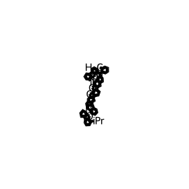 Cc1ccccc1N(c1ccc2cc3c(cc2c1)oc1c3ccc2c3cc4c5cc(cc4cc3oc21)N(c1cccc2c1oc1c(C(C)C)cccc12)c1ccccc1-5)c1cccc2c1oc1c(C(C)C)cccc12